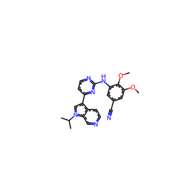 COc1cc(C#N)cc(Nc2nccc(-c3cn(C(C)C)c4cnccc34)n2)c1OC